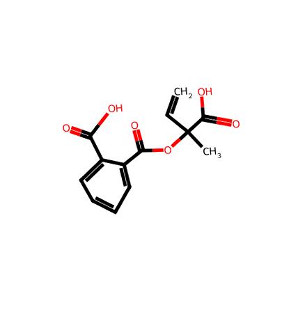 C=CC(C)(OC(=O)c1ccccc1C(=O)O)C(=O)O